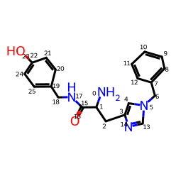 NC(Cc1cn(Cc2ccccc2)cn1)C(=O)NCc1ccc(O)cc1